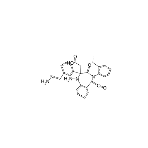 CCc1ccccc1N1C(=O)C(CC(=O)O)(c2cccc(C=NN)c2)N(N)c2ccccc2C1=C=O